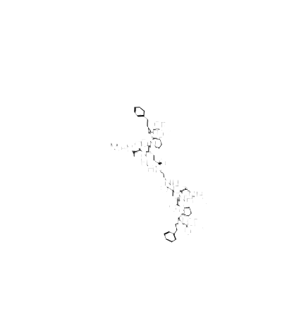 CN[C@@H](C)C(=O)N[C@@H](CCC(=O)NCCNC(=O)CC[C@H](NC(=O)[C@H](C)N)C(=O)N1CCC[C@H]1CN(CCc1ccccc1)C(=O)C(F)(F)F)C(=O)N1CCC[C@H]1CN(CCc1ccccc1)C(=O)C(F)(F)F